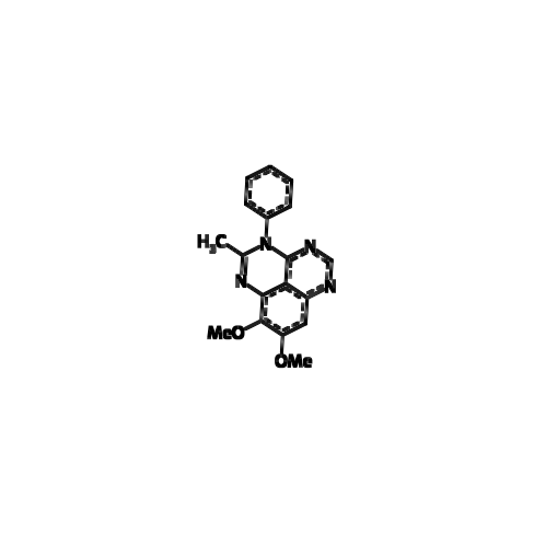 COc1cc2ncnc3c2c(c1OC)N=C(C)N3c1ccccc1